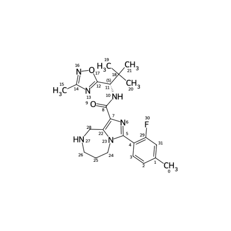 Cc1ccc(-c2nc(C(=O)N[C@H](c3nc(C)no3)C(C)(C)C)c3n2CCCNC3)c(F)c1